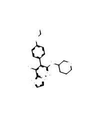 CCOc1ccc(-c2c(NC3CCCNC3)nn3ccnc3c2N)cc1